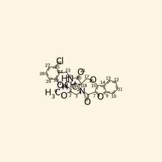 COCCN1C(=O)c2oc3ccccc3c2OCC1(C)C(=O)NCc1c(Cl)cccc1OC